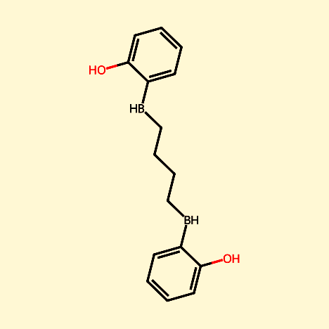 Oc1ccccc1BCCCCBc1ccccc1O